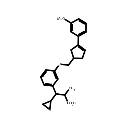 COc1cccc(C2=CCC(COc3cccc(C(C4CC4)C(C)C(=O)O)c3)C2)c1